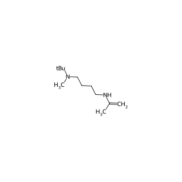 C=C(C)NCCCCN(C)C(C)(C)C